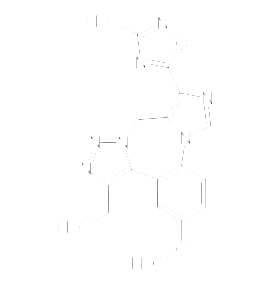 CCc1nnn2c1-c1cc(OC)ccc1-n1cnc(-c3nc(C)no3)c1C2